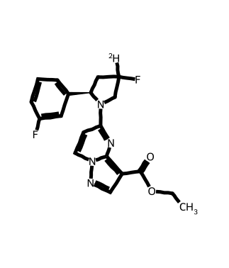 [2H]C1(F)C[C@H](c2cccc(F)c2)N(c2ccn3ncc(C(=O)OCC)c3n2)C1